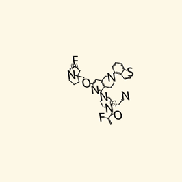 C=C(F)C(=O)N1CCN(c2nc(OCC34CCCN3C[C@H](F)C4)cc3c2CCN(c2cccc4sccc24)C3)C[C@@H]1CC#N